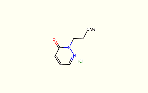 COCCn1ncccc1=O.Cl